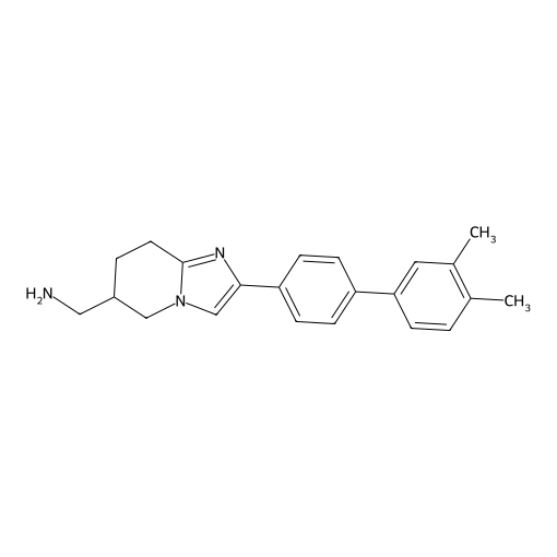 Cc1ccc(-c2ccc(-c3cn4c(n3)CCC(CN)C4)cc2)cc1C